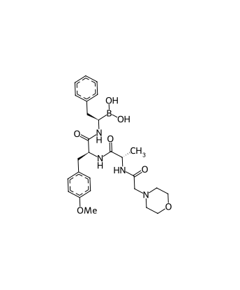 COc1ccc(C[C@H](NC(=O)[C@H](C)NC(=O)CN2CCOCC2)C(=O)N[C@@H](Cc2ccccc2)B(O)O)cc1